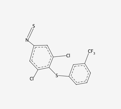 FC(F)(F)c1cccc(Sc2c(Cl)cc(N=S)cc2Cl)c1